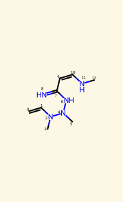 C=CN(C)N(C)NC(=N)/C=C\NC